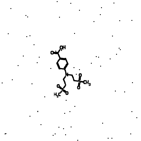 CS(=O)(=O)CCN(CCS(C)(=O)=O)c1ccc(C(=O)O)cc1